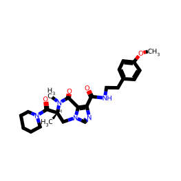 COc1ccc(CCNC(=O)c2ncn3c2C(=O)N(C)[C@@](C)(C(=O)N2CCCCC2)C3)cc1